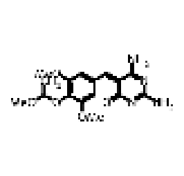 COc1cc(C=C2C(=O)N=C(N)N=C2N)cc(OC)c1OC(C)OC